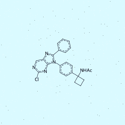 CC(=O)NC1(c2ccc(-n3c(-c4ccccc4)nc4cnc(Cl)nc43)cc2)CCC1